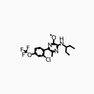 CCC(CC)Nc1nc(C)c(-c2ccc(OC(F)(F)F)cc2Cl)nc1OC